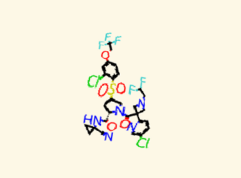 N#CC1(NC(=O)[C@@H]2CC(S(=O)(=O)c3ccc(OCC(F)(F)F)cc3Cl)CN2C(=O)C2(c3ccc(Cl)cn3)CN(CC(F)F)C2)CC1